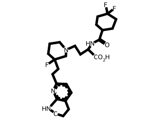 O=C(NC(CCN1CCCC(F)(CCc2ccc3c(n2)NCCC3)C1)C(=O)O)C1CCC(F)(F)CC1